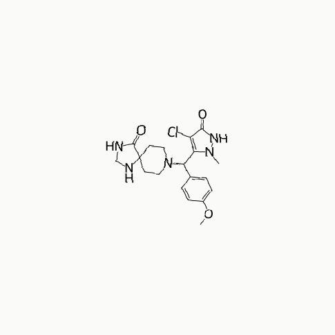 COc1ccc(C(c2c(Cl)c(=O)[nH]n2C)N2CCC3(CC2)NCNC3=O)cc1